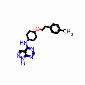 Cc1ccc(CCOC2CCC(Nc3ncnc4[nH]ncc34)CC2)cc1